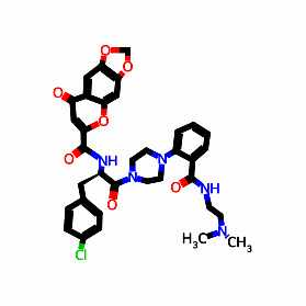 CN(C)CCNC(=O)c1ccccc1N1CCN(C(=O)[C@@H](Cc2ccc(Cl)cc2)NC(=O)c2cc(=O)c3cc4c(cc3o2)OCO4)CC1